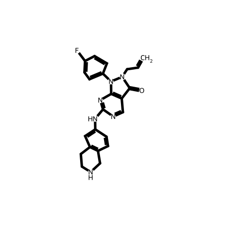 C=CCn1c(=O)c2cnc(Nc3ccc4c(c3)CCNC4)nc2n1-c1ccc(F)cc1